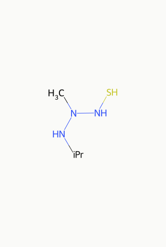 CC(C)NN(C)NS